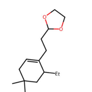 CCC1CC(C)(C)CC=C1CCC1OCCO1